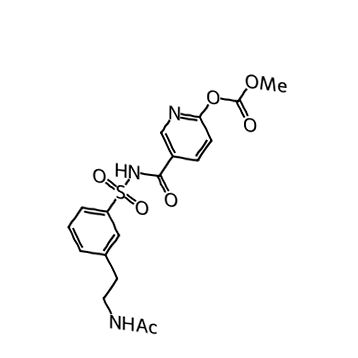 COC(=O)Oc1ccc(C(=O)NS(=O)(=O)c2cccc(CCNC(C)=O)c2)cn1